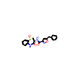 CN1C(=O)[C@@H](NC(=O)c2cc(Cc3ccccc3)on2)C[S@@+]([O-])c2ccccc21